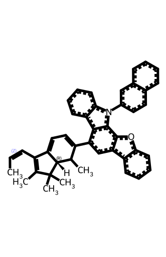 C/C=C\C1=C(C)C(C)(C)[C@@H]2C1=CC=C(c1cc3c4ccccc4oc3c3c1c1ccccc1n3-c1ccc3ccccc3c1)C2C